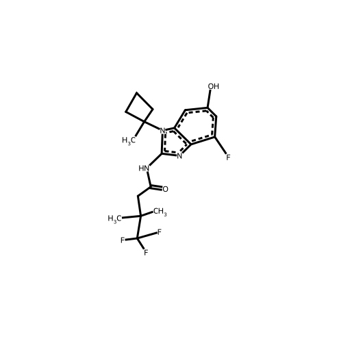 CC1(n2c(NC(=O)CC(C)(C)C(F)(F)F)nc3c(F)cc(O)cc32)CCC1